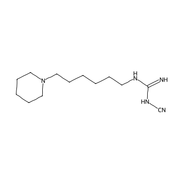 N#CNC(=N)NCCCCCCN1CCCCC1